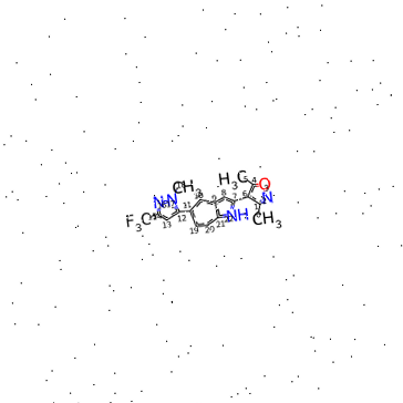 Cc1noc(C)c1-c1cc2cc(-c3cc(C(F)(F)F)nn3C)ccc2[nH]1